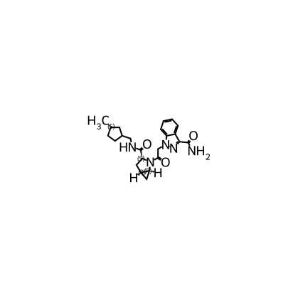 C[C@H]1CCC(CNC(=O)[C@@H]2C[C@H]3C[C@H]3N2C(=O)Cn2nc(C(N)=O)c3ccccc32)C1